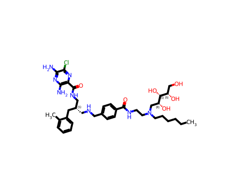 CCCCCCN(CCNC(=O)c1ccc(CNC[C@@H](CNC(=O)c2nc(Cl)c(N)nc2N)Cc2ccccc2C)cc1)C[C@@H](O)[C@H](O)[C@@H](O)CO